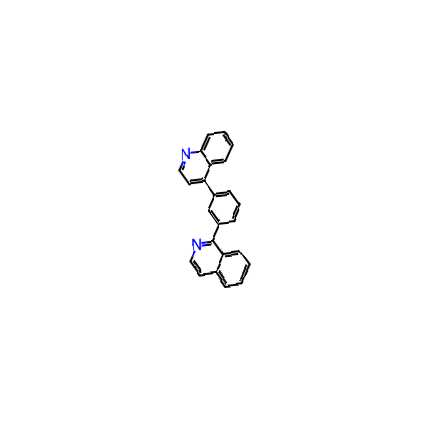 c1cc(-c2nccc3ccccc23)cc(-c2ccnc3ccccc23)c1